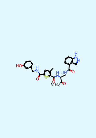 COC(=O)C(CNC(=O)c1cccc2[nH]ncc12)NC(=O)c1sc(C(=O)NCc2cccc(O)c2)cc1C